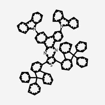 c1ccc(C2(c3ccccc3)c3ccccc3-c3c(-c4sc(-c5cccc6c5-c5ccccc5C6(c5ccccc5)c5ccccc5)c5nc6c7ccc(-n8c9ccccc9c9ccccc98)cc7c7cc(-n8c9ccccc9c9ccccc98)ccc7c6nc45)cccc32)cc1